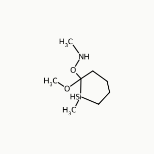 CNOC1(OC)CCCC[SiH]1C